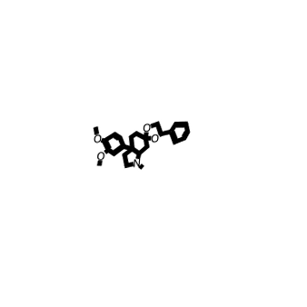 COc1ccc(C23CCN(C)C2CC2(CC3)OCC(c3ccccc3)O2)cc1OC